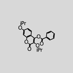 CC(C)Oc1ccc2c(OC(=O)c3ccccc3)c(OC(C)C)c(=O)oc2c1